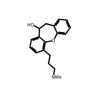 CNCCCc1cccc2c1Oc1ccccc1CC2O